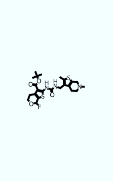 Cc1sc2c(c1CNC(=O)Nc1sc3c(c1C(=O)OC(C)(C)C)CCOC3F)CCN(C)C2